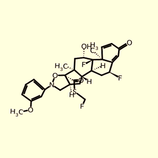 COc1cccc(N2C[C@@H]3C[C@H]4[C@@H]5C[C@H](F)C6=CC(=O)C=C[C@]6(C)[C@@]5(F)[C@@H](O)C[C@]4(C)[C@]3(C(=O)SCF)O2)c1